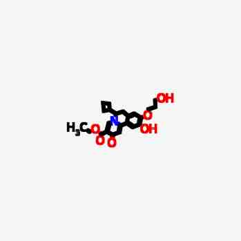 CCOC(=O)c1cn2c(cc1=O)-c1cc(O)c(OCCCO)cc1CC2C1CCC1